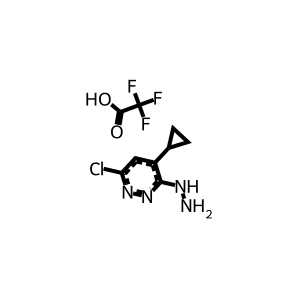 NNc1nnc(Cl)cc1C1CC1.O=C(O)C(F)(F)F